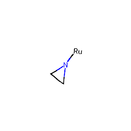 [Ru][N]1CC1